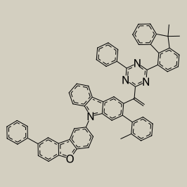 C=C(c1nc(-c2ccccc2)nc(-c2cccc3c2-c2ccccc2C3(C)C)n1)c1cc2c3ccccc3n(-c3ccc4oc5ccc(-c6ccccc6)cc5c4c3)c2cc1-c1ccccc1C